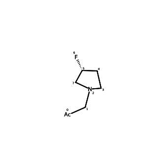 CC(=O)CN1CC[C@@H](F)C1